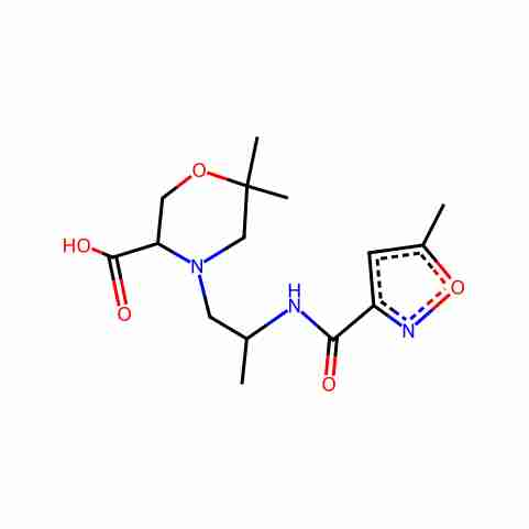 Cc1cc(C(=O)NC(C)CN2CC(C)(C)OCC2C(=O)O)no1